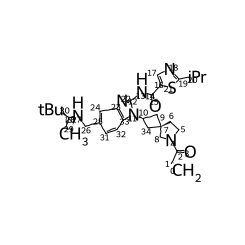 C=CC(=O)N1CC[C@]2(C1)C[C@H](n1c(NC(=O)c3cnc(C(C)C)s3)nc3cc(CN[C@@H](C)C(C)(C)C)ccc31)C2